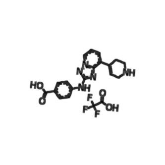 O=C(O)C(F)(F)F.O=C(O)c1ccc(Nc2nc3c(C4=CCNCC4)cccn3n2)cc1